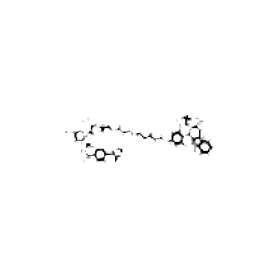 Cc1ncsc1-c1ccc([C@H](C)NC(=O)[C@@H]2C[C@@H](O)CN2C(=O)[C@@H](NC(=O)COCCCOCCCCCOc2cc(F)c([C@@H]3c4[nH]c5ccccc5c4C[C@@H](C)N3CC(C)(C)F)c(F)c2)C(C)(C)C)cc1